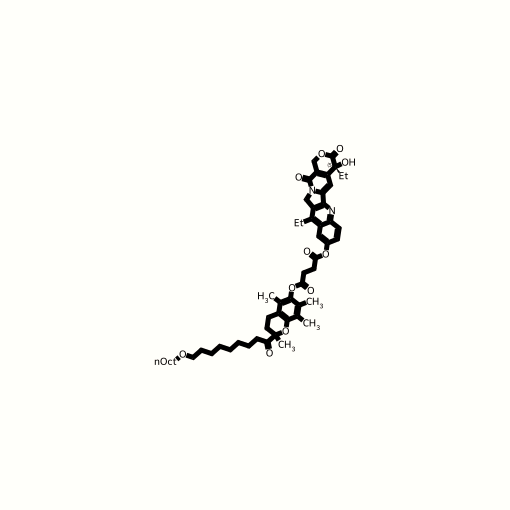 CCCCCCCCOCCCCCCCCC(=O)C1(C)CCc2c(C)c(OC(=O)CCC(=O)Oc3ccc4nc5c(c(CC)c4c3)Cn3c-5cc4c(c3=O)COC(=O)[C@]4(O)CC)c(C)c(C)c2O1